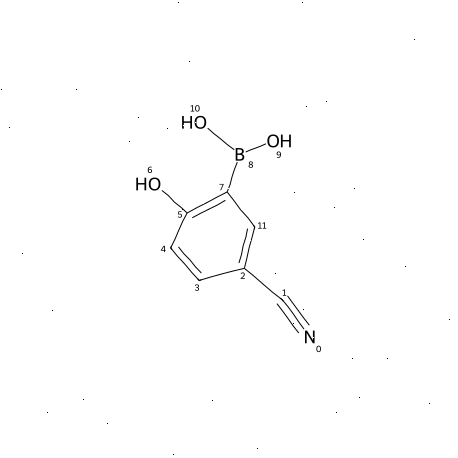 N#Cc1ccc(O)c(B(O)O)c1